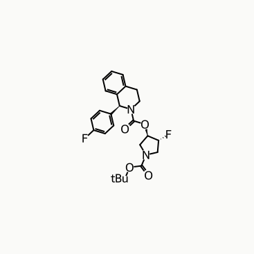 CC(C)(C)OC(=O)N1C[C@@H](F)[C@H](OC(=O)N2CCc3ccccc3[C@@H]2c2ccc(F)cc2)C1